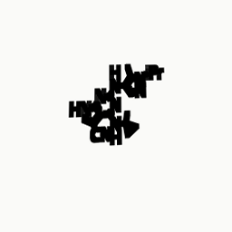 Cc1c(Nc2nc(NC3(C)CC3)c3c(C#N)c[nH]c3n2)cnn1C(C)C